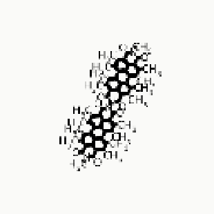 Cc1c2c3c(c(C)c(C)c4c5c(C)c(C)c6c7c(c(C)c(C)c(c(c1C)c34)c75)C(=O)N(N1C(=O)c3c(C)c(C)c4c5c(C)c(C)c7c8c(c(C)c(C)c(c9c(C)c(C)c(c3c49)C1=O)c85)C(=O)N(C)C7=O)C6=O)C(=O)N(C)C2=O